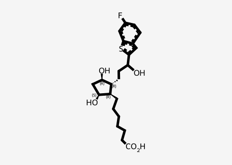 O=C(O)CCCCCC[C@@H]1[C@@H](CCC(O)c2cc3ccc(F)cc3s2)[C@H](O)C[C@@H]1O